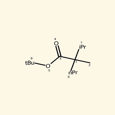 CCCC(C)(C(=O)OC(C)(C)C)C(C)C